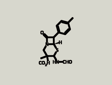 Cc1ccc(C2C(=O)N3CC(C)(C(=O)O)C(NC=O)S[C@H]23)cc1